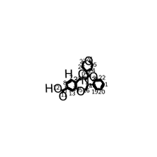 CC1(C(=O)N2Cc3ccc(C(=O)O)cc3OC[C@@H]2c2ccccc2)CCOCC1